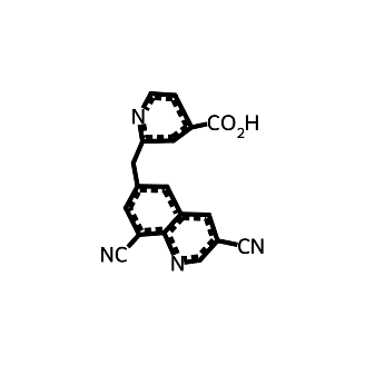 N#Cc1cnc2c(C#N)cc(Cc3cc(C(=O)O)ccn3)cc2c1